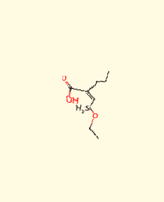 CCCC(=C[SiH2]OCC)C(=O)O